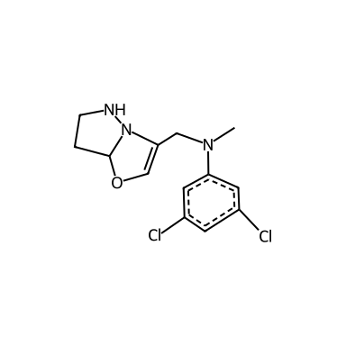 CN(CC1=COC2CCNN12)c1cc(Cl)cc(Cl)c1